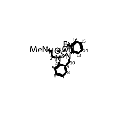 CNCCN1c2ccccc2CN(c2ccccc2F)S1(O)O